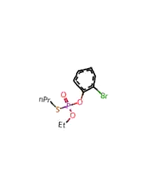 CCCSP(=O)(OCC)Oc1ccccc1Br